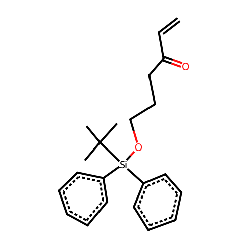 C=CC(=O)CCCO[Si](c1ccccc1)(c1ccccc1)C(C)(C)C